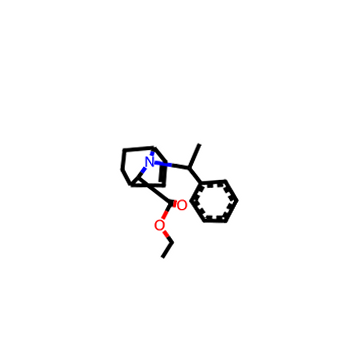 CCOC(=O)C1C2C=CC(CC2)N1C(C)c1ccccc1